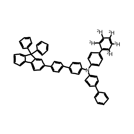 [2H]c1c([2H])c([2H])c(-c2ccc(N(c3ccc(-c4ccccc4)cc3)c3ccc(-c4ccc(-c5ccc6c(c5)C(c5ccccc5)(c5ccccc5)c5ccccc5-6)cc4)cc3)cc2)c([2H])c1[2H]